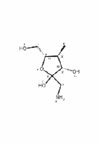 C[C@@H]1[C@@H](CO)OC(O)(CN)[C@H]1O